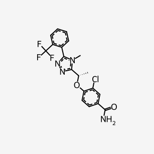 C[C@H](Oc1ccc(C(N)=O)cc1Cl)c1nnc(-c2ccccc2C(F)(F)F)n1C